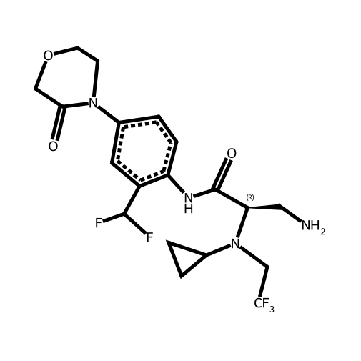 NC[C@H](C(=O)Nc1ccc(N2CCOCC2=O)cc1C(F)F)N(CC(F)(F)F)C1CC1